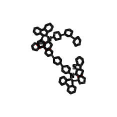 c1ccc(-c2cccc(-c3ccc(N(c4c(-c5cccc(-c6ccc(-c7ccc(-c8ccc(N(c9c(-c%10ccccc%10)c%10ccccc%10c%10ccccc9%10)c9cccc%10c9sc9ccccc9%10)cc8)cc7)cc6)c5)c5ccccc5c5ccccc45)c4cccc5c4sc4ccccc45)cc3)c2)cc1